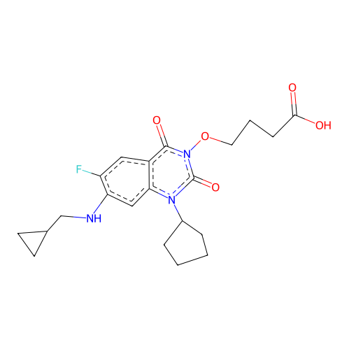 O=C(O)CCCOn1c(=O)c2cc(F)c(NCC3CC3)cc2n(C2CCCC2)c1=O